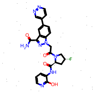 NC(=O)c1nn(CC(=O)N2C[C@H](F)C[C@H]2C(=O)Nc2cccnc2O)c2ccc(-c3ccnnc3)cc12